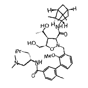 COc1c(CN2O[C@@H](CO)[C@@H]([C@H](C)O)[C@H]2C(=O)N[C@H]2C[C@H]3C[C@@H]([C@@H]2C)C3(C)C)cccc1-c1cc(C(=O)N[C@@H](CC(C)C)CN(C)C)ccc1C